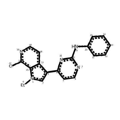 CCn1cc(-c2ccnc(Nc3c[c]ccc3)n2)c2ccnc(Cl)c21